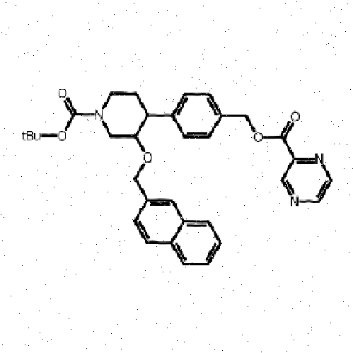 CC(C)(C)OC(=O)N1CCC(c2ccc(COC(=O)c3cnccn3)cc2)C(OCc2ccc3ccccc3c2)C1